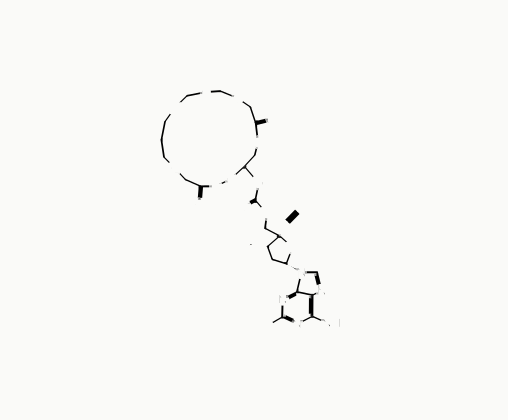 C#C[C@]1(COC(=O)OC2COC(=O)CCCCCCCCCCCC(=O)OC2)O[C@@H](n2cnc3c(N)nc(F)nc32)C[C@@H]1O